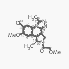 COCC(=O)N1Cc2c(c3cc(OC)c(Cl)cc3n3c(C)nnc23)[C@@H]1C